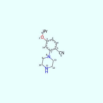 CC(C)Oc1ccc(C#N)c(N2CCNCC2)c1